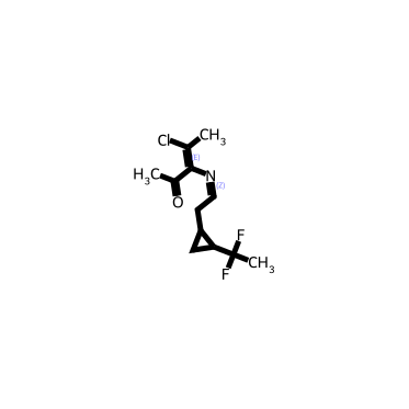 CC(=O)C(/N=C\CC1CC1C(C)(F)F)=C(/C)Cl